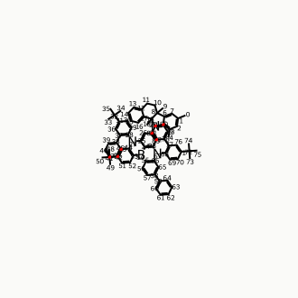 Cc1cc(C)c2c(c1)C1(C)CCc3ccccc3C1(C)N2c1cc2c3c(c1)N(c1ccc(C(C)(C)C)cc1-c1ccccc1)c1cc(C(C)(C)C)ccc1B3c1ccc(-c3ccccc3)cc1N2c1ccc(C(C)(C)C)cc1-c1ccccc1